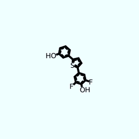 Oc1cccc(-c2ccc(-c3cc(F)c(O)c(F)c3)s2)c1